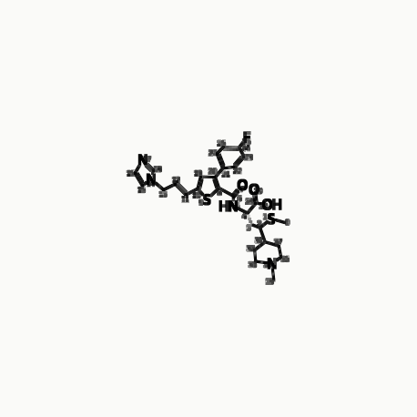 CSC(C[C@H](NC(=O)c1sc(C=CCn2ccnc2)cc1-c1ccc(F)cc1)C(=O)O)C1CCN(C)CC1